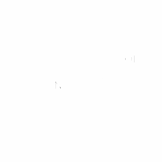 CC[C@H]1CCCN1CCO